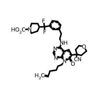 C=CCCCCn1c(=O)c(C2(C#N)CCOCC2)cc2c(NCCc3cccc(C(F)(F)C4CCN(C(=O)O)CC4)c3)ncnc21